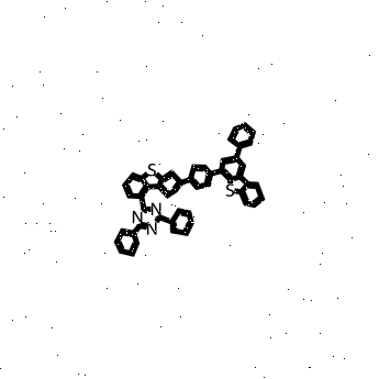 c1ccc(-c2cc(-c3ccc(-c4ccc5c(c4)sc4cccc(-c6nc(-c7ccccc7)nc(-c7ccccc7)n6)c45)cc3)c3sc4ccccc4c3c2)cc1